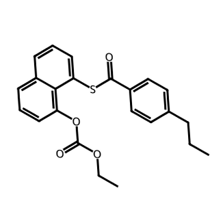 CCCc1ccc(C(=O)Sc2cccc3cccc(OC(=O)OCC)c23)cc1